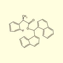 C[C@@H](C(=O)OC(c1cccc2ccccc12)c1cccc2ccccc12)c1ccccc1F